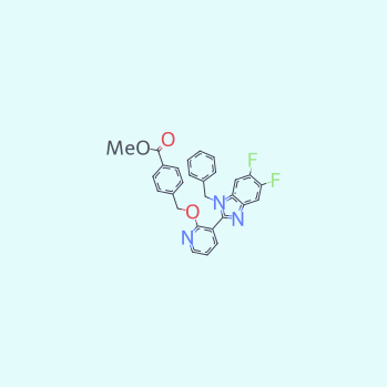 COC(=O)c1ccc(COc2ncccc2-c2nc3cc(F)c(F)cc3n2Cc2ccccc2)cc1